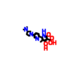 Cc1c(-c2ccc(N3CCC(N(C)C)C3)cn2)[nH]c(=O)c(C(=O)O)c1O